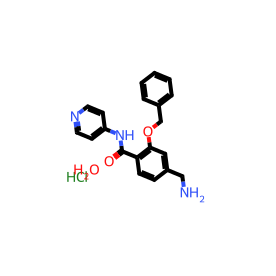 Cl.NCc1ccc(C(=O)Nc2ccncc2)c(OCc2ccccc2)c1.O